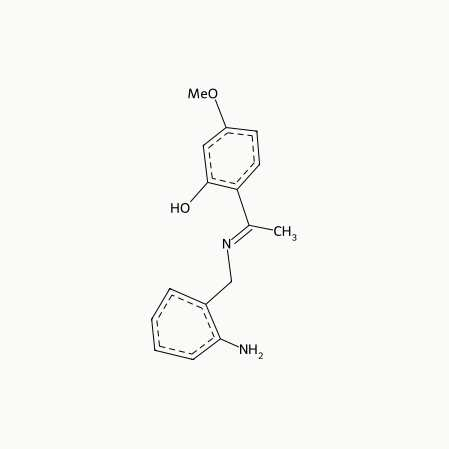 COc1ccc(/C(C)=N/Cc2ccccc2N)c(O)c1